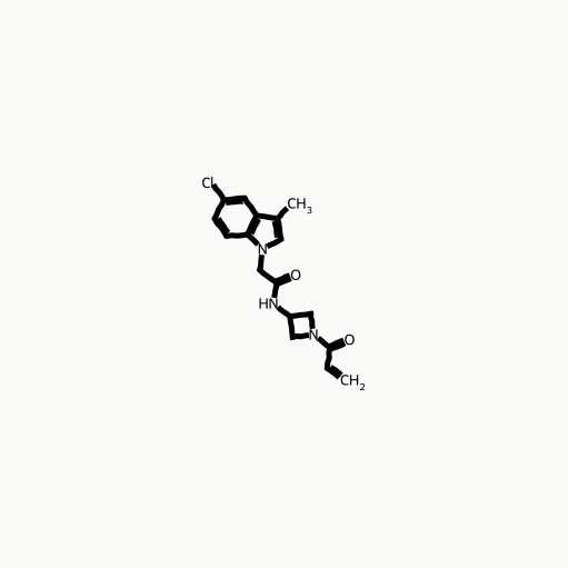 C=CC(=O)N1CC(NC(=O)Cn2cc(C)c3cc(Cl)ccc32)C1